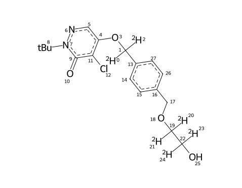 [2H]C([2H])(Oc1cnn(C(C)(C)C)c(=O)c1Cl)c1ccc(COC([2H])([2H])C([2H])([2H])O)cc1